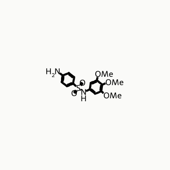 COc1cc(NS(=O)(=O)c2ccc(N)cc2)cc(OC)c1OC